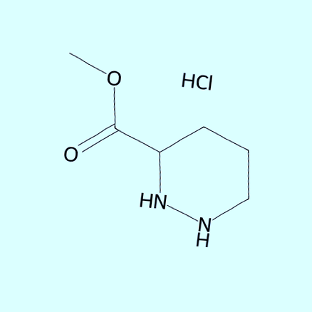 COC(=O)C1CCCNN1.Cl